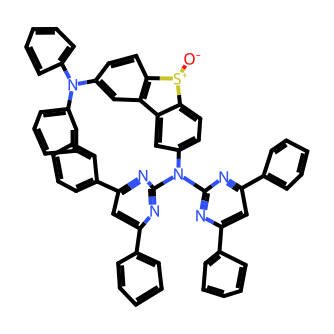 [O-][s+]1c2ccc(N(c3ccccc3)c3ccccc3)cc2c2cc(N(c3nc(-c4ccccc4)cc(-c4ccccc4)n3)c3nc(-c4ccccc4)cc(-c4ccccc4)n3)ccc21